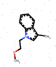 COCCn1cc(C)c2ccccc21